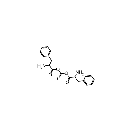 N[C@@H](Cc1ccccc1)C(=O)OC(=O)OC(=O)[C@@H](N)Cc1ccccc1